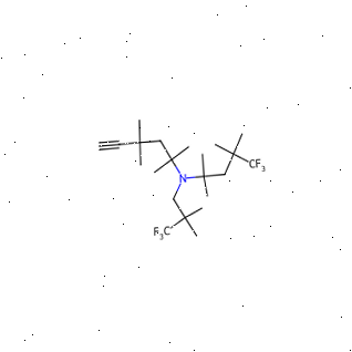 C#CC(C)(C)CC(C)(C)N(CC(C)(C)C(F)(F)F)C(C)(C)CC(C)(C)C(F)(F)F